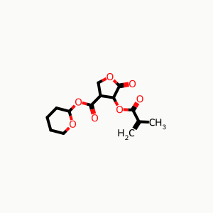 C=C(C)C(=O)OC1C(=O)OCC1C(=O)OC1CCCCO1